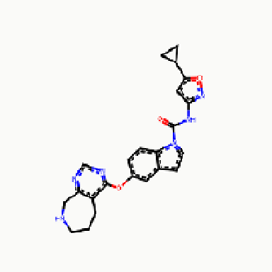 O=C(Nc1cc(C2CC2)on1)n1ccc2cc(Oc3ncnc4c3CCCNC4)ccc21